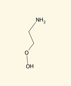 NCCOO